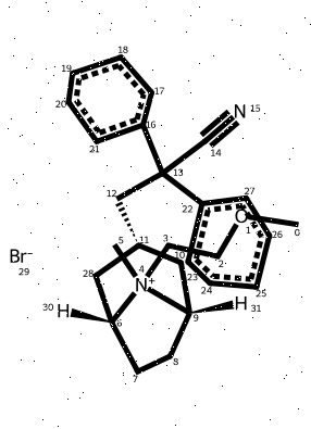 COCC[N+]1(C)[C@@H]2CC[C@H]1C[C@@H](CC(C#N)(c1ccccc1)c1ccccc1)C2.[Br-]